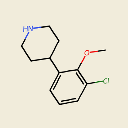 COc1c(Cl)cccc1C1CCNCC1